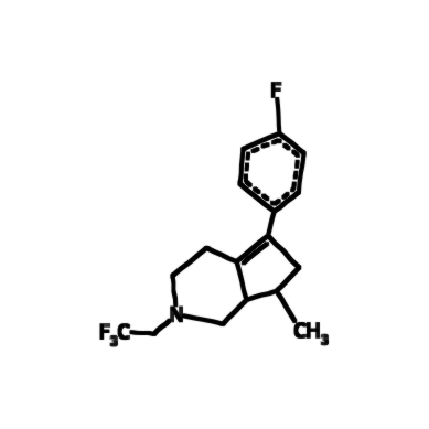 CC1CC(c2ccc(F)cc2)=C2CCN(CC(F)(F)F)CC21